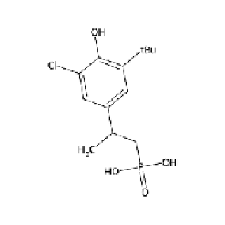 CC(CP(=O)(O)O)c1cc(Cl)c(O)c(C(C)(C)C)c1